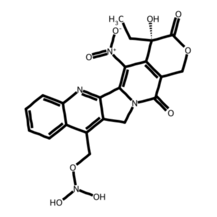 CC[C@@]1(O)C(=O)OCc2c1c([N+](=O)[O-])c1n(c2=O)Cc2c-1nc1ccccc1c2CON(O)O